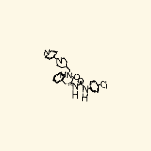 O=C(Nc1ccc(Cl)cc1)N[C@H](Cc1ccccc1)C(=O)NCC1CCN(c2ccncc2)CC1